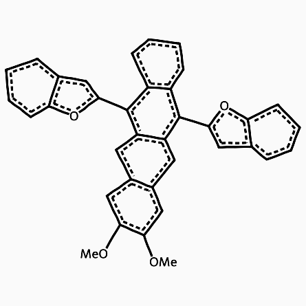 COc1cc2cc3c(-c4cc5ccccc5o4)c4ccccc4c(-c4cc5ccccc5o4)c3cc2cc1OC